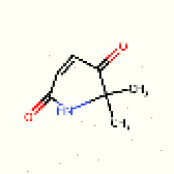 CC1(C)NC(=O)C=CC1=O